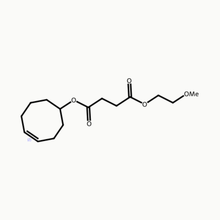 COCCOC(=O)CCC(=O)OC1CC/C=C\CCC1